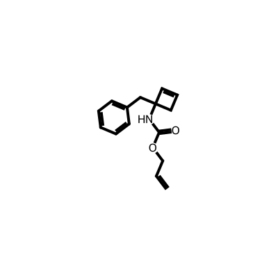 C=CCOC(=O)NC1(Cc2ccccc2)C=CC1